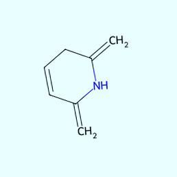 C=C1C=CCC(=C)N1